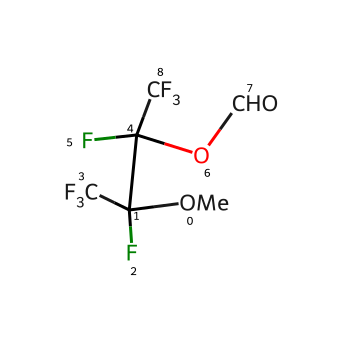 COC(F)(C(F)(F)F)C(F)(OC=O)C(F)(F)F